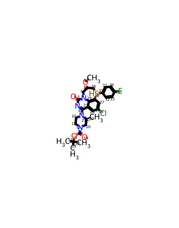 CO[C@H]1Cn2c(=O)nc(N3CCN(C(=O)OC(C)(C)C)C[C@@H]3C)c3cc(Cl)cc(c32)[SH](c2ccc(F)cc2)C1